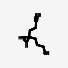 C#CCCC1(CCCO)NN1